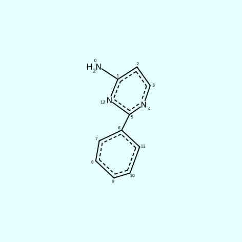 Nc1ccnc(-c2ccccc2)n1